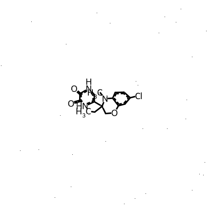 CCC1(c2c[nH]c(=O)c(=O)[nH]2)COc2cc(Cl)ccc2N1C